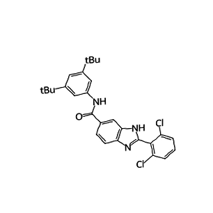 CC(C)(C)c1cc(NC(=O)c2ccc3nc(-c4c(Cl)cccc4Cl)[nH]c3c2)cc(C(C)(C)C)c1